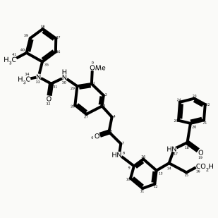 COc1cc(CC(=O)CNc2cccc(C(CC(=O)O)NC(=O)c3ccccc3)c2)ccc1NC(=O)N(C)c1ccccc1C